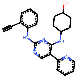 C#Cc1ccccc1Nc1ncc(-c2ccccn2)c(NC2CCC(O)CC2)n1